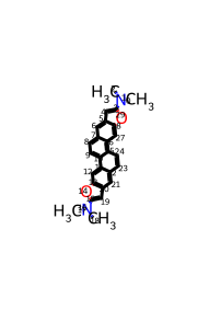 CN(C)c1cc2cc3ccc4c5cc6oc(N(C)C)cc6cc5ccc4c3cc2o1